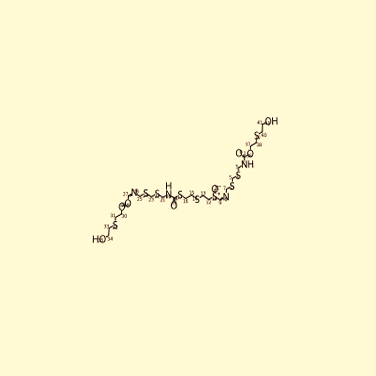 O=C(NCSCSC/N=C\[S+]([O-])CCSCCSC(=O)NCSCSC/N=C\OOCCSCCO)OCCSCCO